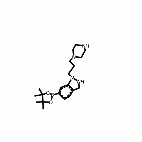 CC1(C)OB(c2ccc3c(c2)N(CCCN2CCNCC2)NC3)OC1(C)C